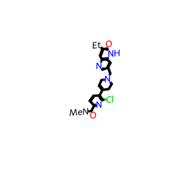 CCc1cc2ncc(CN3CC=C(c4ccc(C(=O)NC)nc4Cl)CC3)cc2[nH]c1=O